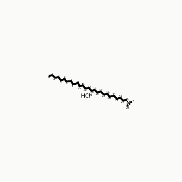 CCCCCCCCCCCCCCCCCCCCCCCCCCN(C)C.Cl